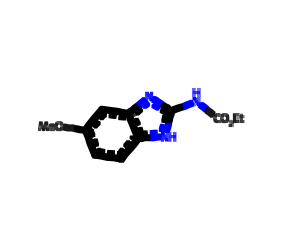 CCOC(=O)Nc1nc2cc(OC)ccc2[nH]1